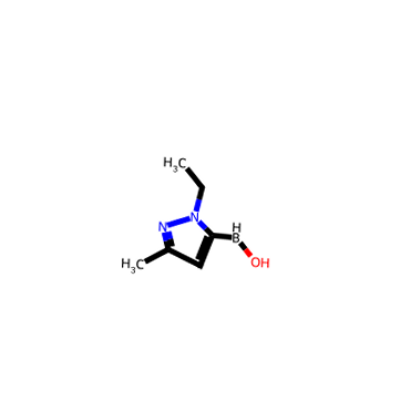 CCn1nc(C)cc1BO